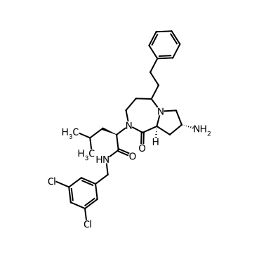 CC(C)C[C@H](C(=O)NCc1cc(Cl)cc(Cl)c1)N1CCC(CCc2ccccc2)N2C[C@H](N)C[C@H]2C1=O